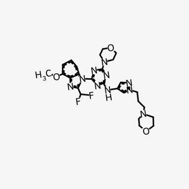 COc1cccc2c1nc(C(F)F)n2-c1nc(Nc2cnn(CCCN3CCOCC3)c2)nc(N2CCOCC2)n1